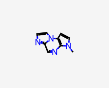 Cn1ccc2c1ncc1nccn12